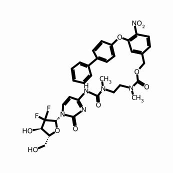 CN(CCN(C)C(=O)OCc1ccc([N+](=O)[O-])c(Oc2ccc(-c3ccccc3)cc2)c1)C(=O)Nc1ccn([C@@H]2O[C@H](CO)[C@@H](O)C2(F)F)c(=O)n1